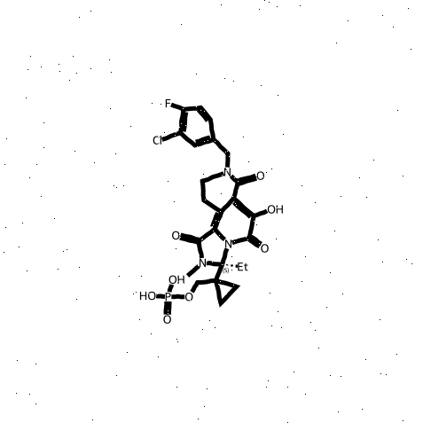 CC[C@]1(C2(COP(=O)(O)O)CC2)N(C)C(=O)c2c3c(c(O)c(=O)n21)C(=O)N(Cc1ccc(F)c(Cl)c1)CC3